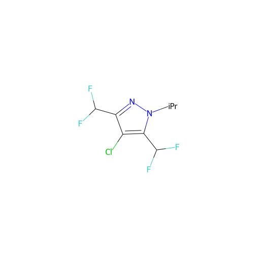 CC(C)n1nc(C(F)F)c(Cl)c1C(F)F